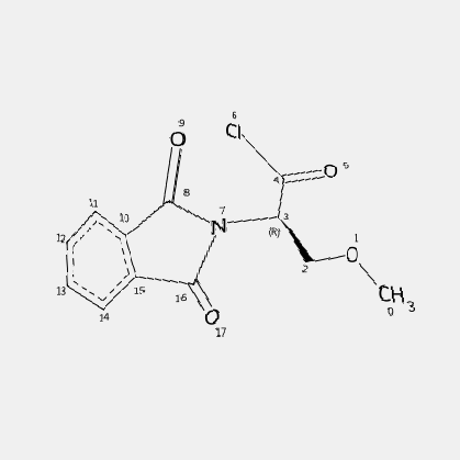 COC[C@H](C(=O)Cl)N1C(=O)c2ccccc2C1=O